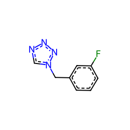 Fc1cccc(Cn2cnnn2)c1